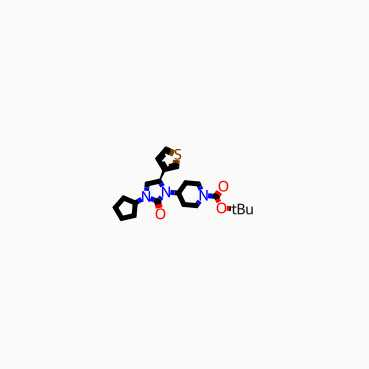 CC(C)(C)OC(=O)N1CCC(N2C(=O)N(C3CCCC3)C[C@H]2c2ccsc2)CC1